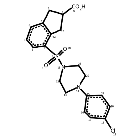 O=C(O)C1Cc2cccc(S(=O)(=O)N3CCN(c4ccc(Cl)cc4)CC3)c2C1